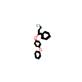 ClCCC(Oc1ccc(Oc2ccccc2)cc1)c1ccccc1